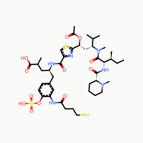 CC[C@H](C)[C@H](NC(=O)[C@H]1CCCCN1C)C(=O)N(C)[C@H](C[C@@H](OC(C)=O)c1nc(C(=O)N[C@@H](Cc2ccc(OS(=O)(=O)O)c(NC(=O)CCCS)c2)CC(C)C(=O)O)cs1)C(C)C